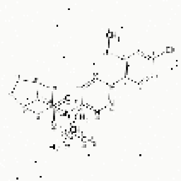 COc1cc(Cl)ccc1-c1ccc(N(C)C2CC3CCC(C2)N3C(=O)OC(C)(C)C)nn1